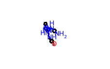 COc1ccc(CNCCNc2nc(NC3CCC(N)CC3)nc3c2ncn3C2CCCC2)cc1